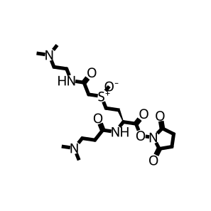 CN(C)CCNC(=O)C[S+]([O-])CC[C@H](NC(=O)CCN(C)C)C(=O)ON1C(=O)CCC1=O